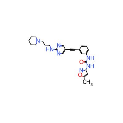 Cc1cc(NC(=O)Nc2cccc(C#Cc3cnc(NCCCN4CCCCC4)nc3)c2)no1